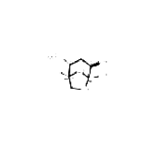 CO[C@H]1CC(=O)[C@@H]2OC[C@H]1O2